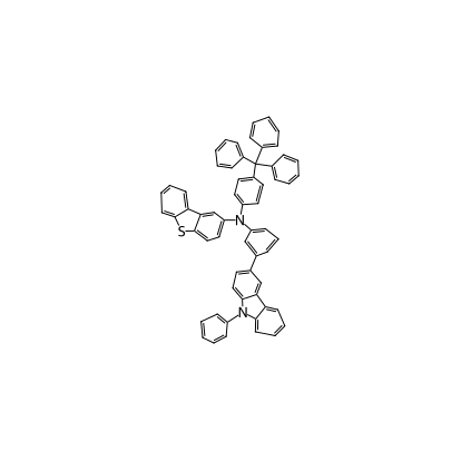 c1ccc(-n2c3ccccc3c3cc(-c4cccc(N(c5ccc(C(c6ccccc6)(c6ccccc6)c6ccccc6)cc5)c5ccc6sc7ccccc7c6c5)c4)ccc32)cc1